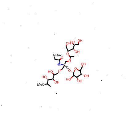 COC(C)[C@H](O)C(O)C(O)COCC(COC(C)OC(CO)[C@H](O)C(O)CO)(CO[C@@H]1OC(CO)[C@H](O)C(O)C1O)NC(=O)CNC(C)=O